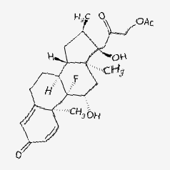 CC(=O)OCC(=O)[C@@]1(O)[C@H](C)C[C@H]2[C@@H]3CCC4=CC(=O)C=C[C@]4(C)[C@]3(F)[C@@H](O)C[C@@]21C